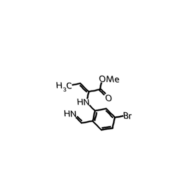 C/C=C(\Nc1cc(Br)ccc1C=N)C(=O)OC